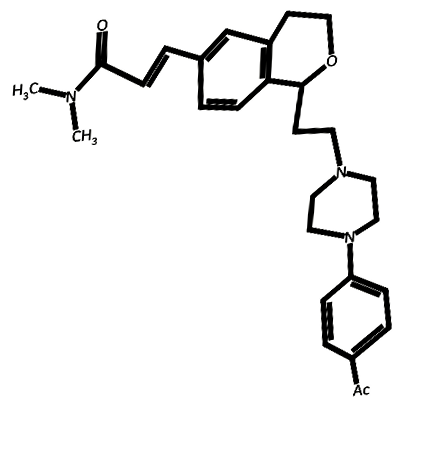 CC(=O)c1ccc(N2CCN(CCC3OCCc4cc(/C=C/C(=O)N(C)C)ccc43)CC2)cc1